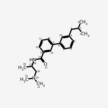 CC(C)Cc1cccc(-c2cccc(C(=O)NC(C)CN(C)C)c2)c1